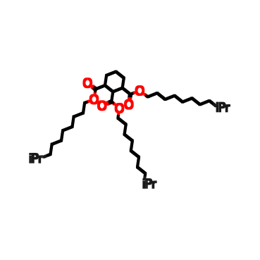 CC(C)CCCCCCCCOC(=O)C1CCCC(C(=O)OCCCCCCCCC(C)C)C1C(=O)OCCCCCCCCC(C)C